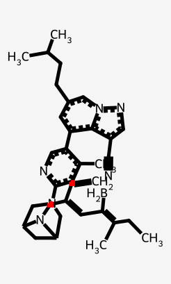 BC(/C=C(\C=C)CN1C2CC1CN(c1cc(C)c(-c3cc(CCC(C)C)cn4ncc(C#N)c34)cn1)C2)=C(/C)CC